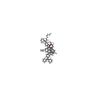 C=C/C=C\C/C=C(\C)N(c1ccccc1)c1ccc2c(c1)c(/C=C\C)c(C=C)n2-c1cc(C#N)cc(-n2c3ccccc3c3cc(N(c4ccccc4)c4ccccc4)ccc32)c1N1C2=CC(C=C(C)C=C2)C2=C1CC=CC(C)=C2